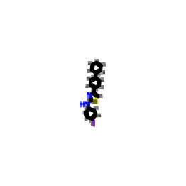 Ic1ccc(Nc2nc(-c3ccc(-c4ccccc4)cc3)cs2)cc1